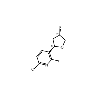 Fc1nc(Cl)ccc1[C@H]1C[C@@H](F)CO1